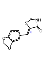 O=C1N[C]S/C1=C\c1ccc2c(c1)OCO2